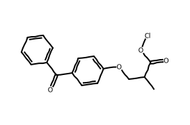 CC(COc1ccc(C(=O)c2ccccc2)cc1)C(=O)OCl